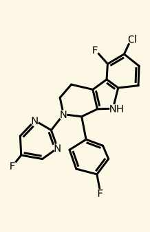 Fc1ccc(C2c3[nH]c4ccc(Cl)c(F)c4c3CCN2c2ncc(F)cn2)cc1